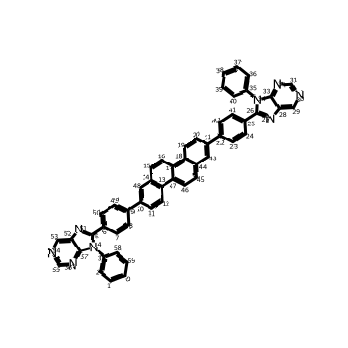 c1ccc(-n2c(-c3ccc(-c4ccc5c(ccc6c7ccc(-c8ccc(-c9nc%10cncnc%10n9-c9ccccc9)cc8)cc7ccc56)c4)cc3)nc3cncnc32)cc1